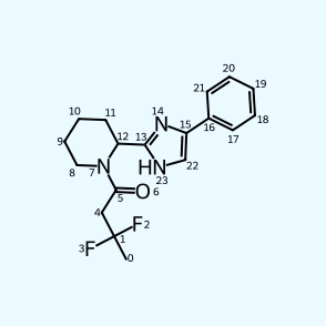 CC(F)(F)CC(=O)N1CCCCC1c1nc(-c2ccccc2)c[nH]1